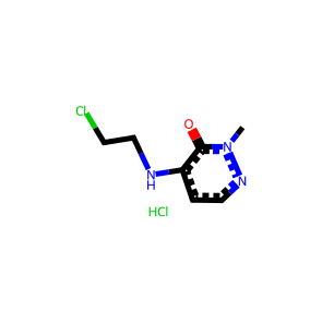 Cl.Cn1nccc(NCCCl)c1=O